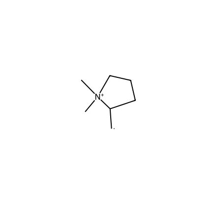 [CH2]C1CCC[N+]1(C)C